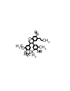 CCCc1cc2c(cc1N=O)OCC(c1cc(OC)c(N=O)c(OC)c1)C2c1cc(C)c(N=O)c(C)c1